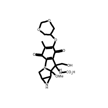 COC12C3NC3CN1C1=C(C(=O)C(OC3COCOC3)=C(C)C1=O)C2(CO)NC(=O)O